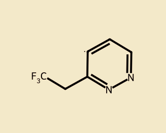 FC(F)(F)Cc1[c]ccnn1